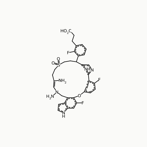 N/C1=C\N(N)Cc2c(c(F)cc3[nH]ccc23)Oc2ccc(F)c(c2)-c2ncc([nH]2)C(c2cccc(CCC(=O)O)c2F)CCS(=O)(=O)CC1